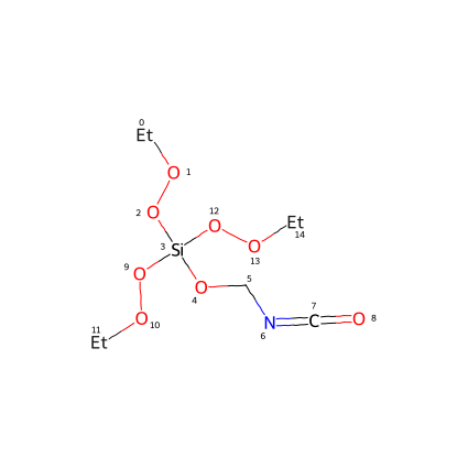 CCOO[Si](OCN=C=O)(OOCC)OOCC